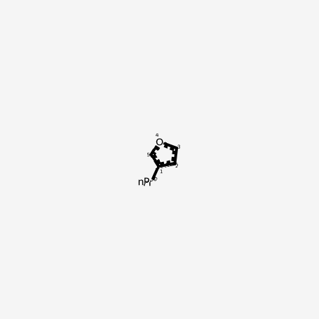 [CH]CCc1ccoc1